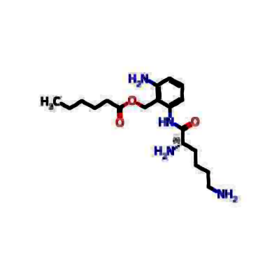 CCCCCC(=O)OCc1c(N)cccc1NC(=O)[C@@H](N)CCCCN